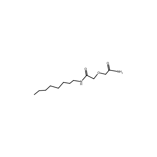 CCCCCCCCNC(=O)COCC(N)=O